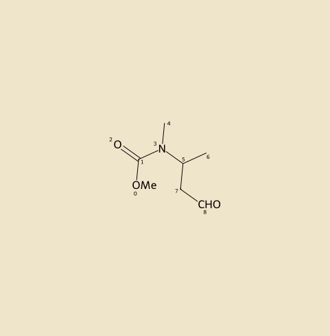 COC(=O)N(C)C(C)CC=O